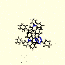 c1ccc(-c2ccc(-c3cccc(-c4nc(-c5ccccc5)nc(-c5cccc(-c6ccc(-c7ccccc7)cc6-n6c7ccccc7c7ccccc76)c5)n4)c3)c(-n3c4ccccc4c4ccccc43)c2)cc1